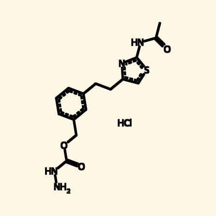 CC(=O)Nc1nc(CCc2cccc(COC(=O)NN)c2)cs1.Cl